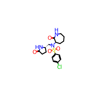 O=C1CC[C@@H](CN([C@@H]2CCCCNC2=O)S(=O)(=O)c2ccc(Cl)cc2)N1